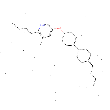 CCCCc1ncc(O[C@H]2CC[C@H]([C@H]3CC[C@H](CCCC)CC3)CC2)cc1C